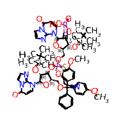 COc1ccc(C(OC[C@H]2O[C@@H](n3ccc(=O)n4ccnc34)[C@H](O[Si](C)(C)C(C)(C)C)[C@@H]2OP(=S)(OCCC#N)OC[C@H]2O[C@@H](n3ccc(=O)n4ccnc34)[C@H](O[PH](=O)O)[C@@H]2O[Si](C)(C)C(C)(C)C)(c2ccccc2)c2ccc(OC)cc2)cc1